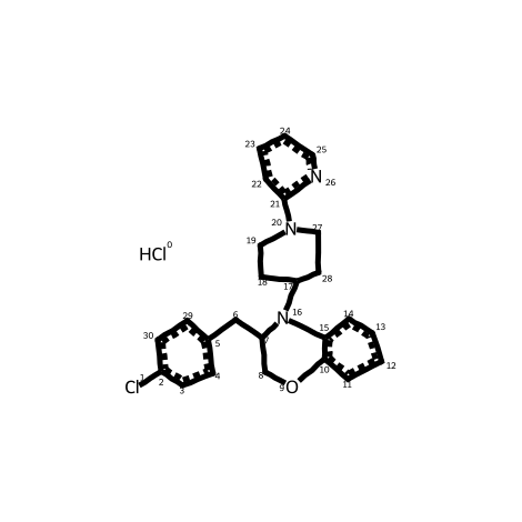 Cl.Clc1ccc(CC2COc3ccccc3N2C2CCN(c3ccccn3)CC2)cc1